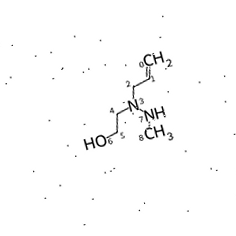 C=CCN(CCO)NC